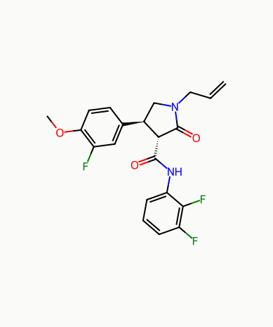 C=CCN1C[C@H](c2ccc(OC)c(F)c2)[C@@H](C(=O)Nc2cccc(F)c2F)C1=O